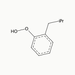 CC(C)Cc1ccccc1OO